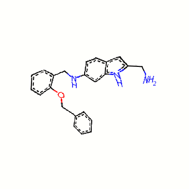 NCc1cc2ccc(NCc3ccccc3OCc3ccccc3)cc2[nH]1